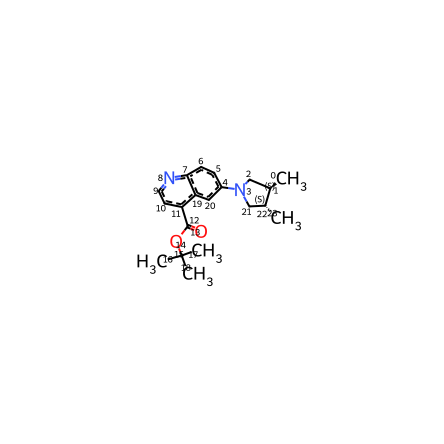 C[C@@H]1CN(c2ccc3nccc(C(=O)OC(C)(C)C)c3c2)C[C@H]1C